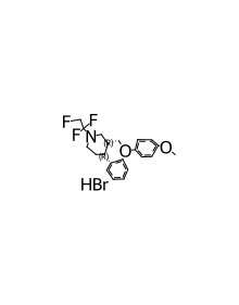 Br.COc1ccc(OC[C@H]2CN(C(F)(F)CF)CC[C@H]2c2ccccc2)cc1